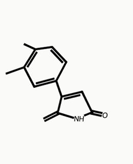 C=C1NC(=O)C=C1c1ccc(C)c(C)c1